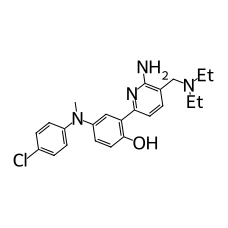 CCN(CC)Cc1ccc(-c2cc(N(C)c3ccc(Cl)cc3)ccc2O)nc1N